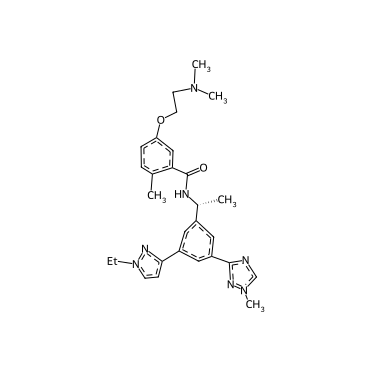 CCn1ccc(-c2cc(-c3ncn(C)n3)cc([C@@H](C)NC(=O)c3cc(OCCN(C)C)ccc3C)c2)n1